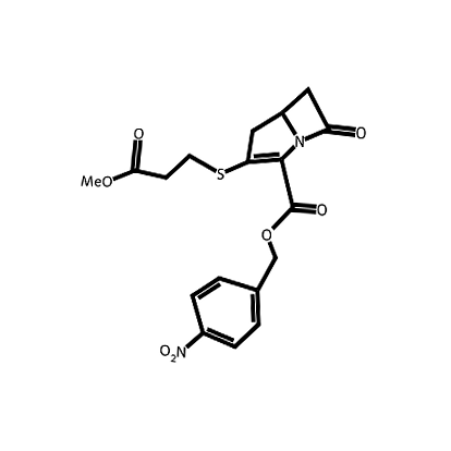 COC(=O)CCSC1=C(C(=O)OCc2ccc([N+](=O)[O-])cc2)N2C(=O)CC2C1